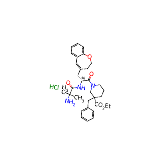 CCOC(=O)C1(Cc2ccccc2)CCCN(C(=O)[C@@H](CC2=Cc3ccccc3OCC2)NC(=O)C(C)(C)N)C1.Cl